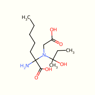 CCCCCC(N)(C(=O)O)N(CC(=O)O)C(C)(O)CC